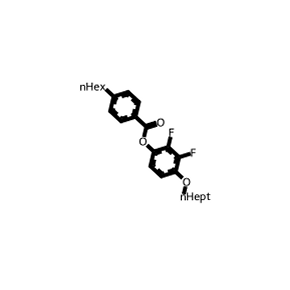 CCCCCCCOc1ccc(OC(=O)c2ccc(CCCCCC)cc2)c(F)c1F